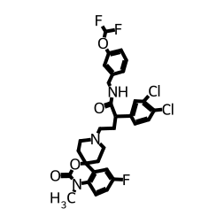 CN1C(=O)OC2(CCN(CCC(C(=O)NCc3cccc(OC(F)F)c3)c3ccc(Cl)c(Cl)c3)CC2)c2cc(F)ccc21